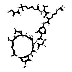 C=C(CBr)C(=O)OC(C)(C)CCCCC(=O)N[C@H](C(=O)N[C@@H](CCCNC(N)=O)C(=O)Nc1ccc(C(=O)N(C)[C@@H](C)C(=O)O[C@H]2CC(=O)N(C)c3cc(cc(OC)c3Cl)C/C(C)=C/C=C/[C@@H](OC)[C@@]3(O)C[C@H](OC(=O)N3)[C@@H](C)[C@@H]3O[C@@]23C)c(F)c1)C(C)C